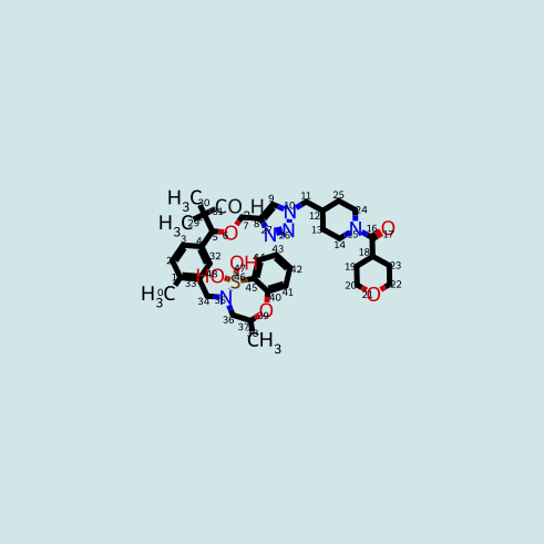 Cc1ccc(C(OCc2cn(CC3CCN(C(=O)C4CCOCC4)CC3)nn2)C(C)(C)C(=O)O)cc1CN1CC(C)Oc2ccccc2S1(O)O